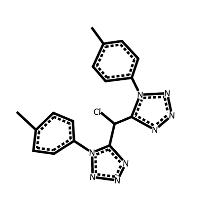 Cc1ccc(-n2nnnc2C(Cl)c2nnnn2-c2ccc(C)cc2)cc1